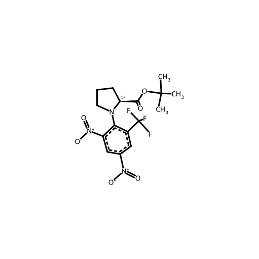 CC(C)(C)OC(=O)[C@@H]1CCCN1c1c([N+](=O)[O-])cc([N+](=O)[O-])cc1C(F)(F)F